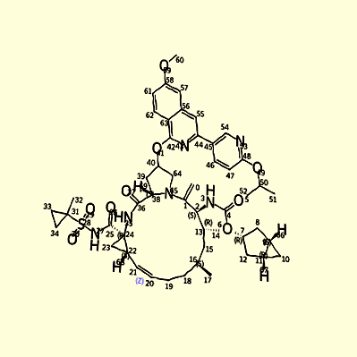 C=C1[C@@H](NC(=O)O[C@@H]2C[C@@H]3C[C@@H]3C2)[C@H](C)C[C@@H](C)CC/C=C\[C@@H]2C[C@@]2(C(=O)NS(=O)(=O)C2(C)CC2)NC(=O)[C@@H]2CC(Oc3nc(-c4ccc(OC(C)C)nc4)cc4cc(OC)ccc34)CN12